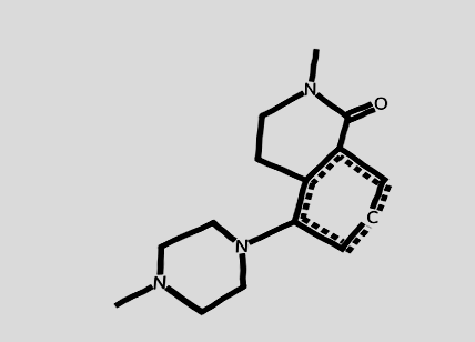 CN1CCN(c2cccc3c2CCN(C)C3=O)CC1